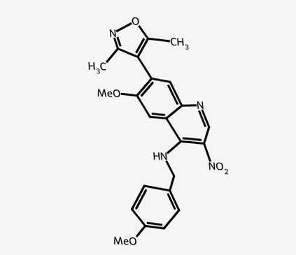 COc1ccc(CNc2c([N+](=O)[O-])cnc3cc(-c4c(C)noc4C)c(OC)cc23)cc1